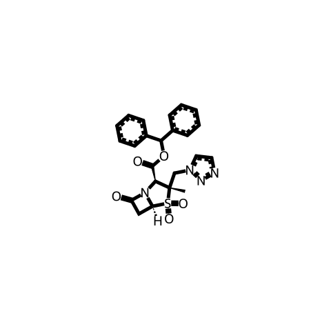 C[C@]1(Cn2ccnn2)[C@H](C(=O)OC(c2ccccc2)c2ccccc2)N2C(=O)C[C@@H]2S1(=O)=O